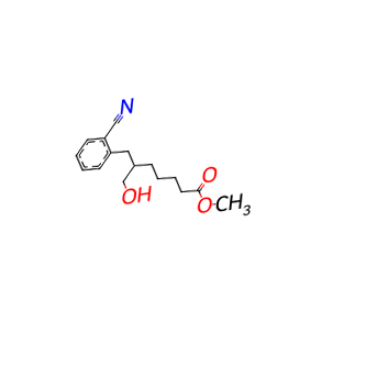 COC(=O)CCCCC(CO)Cc1ccccc1C#N